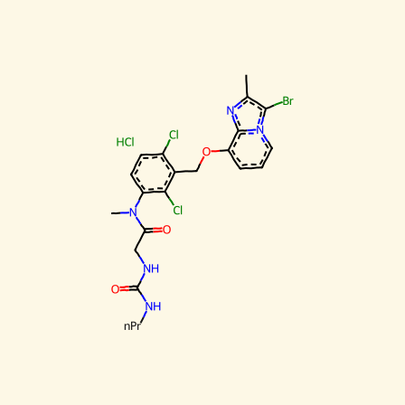 CCCNC(=O)NCC(=O)N(C)c1ccc(Cl)c(COc2cccn3c(Br)c(C)nc23)c1Cl.Cl